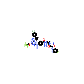 CC(C)(CNC(=O)c1ccc(Nc2nc(NC3(c4ccc(Cl)cc4)CC3)nc(OCC(F)(F)F)n2)cc1)NC(=O)C(=O)Nc1ccc(F)cc1